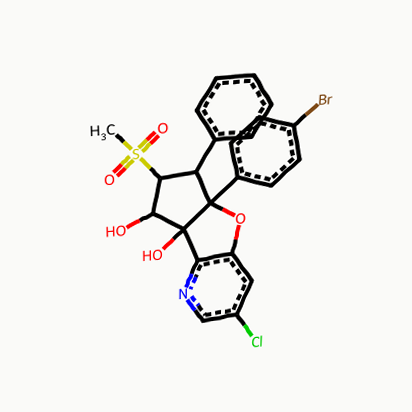 CS(=O)(=O)C1C(O)C2(O)c3ncc(Cl)cc3OC2(c2ccc(Br)cc2)C1c1ccccc1